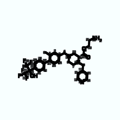 Cc1cc(CN2CCN(Cc3ccncc3)[C@@H](C(=O)OCCN)C2)ccc1-c1ccc(C(O)(C(F)(F)F)C(F)(F)F)cc1